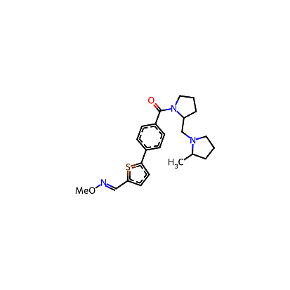 CON=Cc1ccc(-c2ccc(C(=O)N3CCCC3CN3CCCC3C)cc2)s1